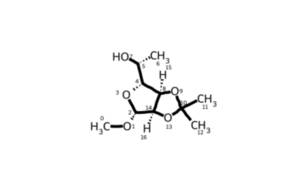 CO[C@@H]1O[C@H]([C@@H](C)O)[C@H]2OC(C)(C)O[C@@H]12